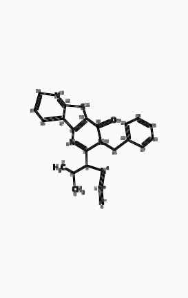 CC(C)C(N=[N+]=[N-])c1nc2c(sc3ncccc32)c(=O)n1Cc1ccccc1